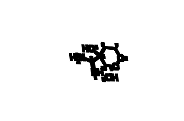 Cl.N=C(N)C1(O)CCOOC1